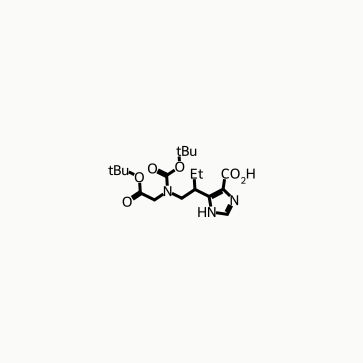 CCC(CN(CC(=O)OC(C)(C)C)C(=O)OC(C)(C)C)c1[nH]cnc1C(=O)O